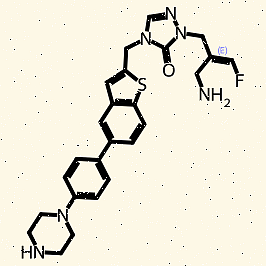 NC/C(=C\F)Cn1ncn(Cc2cc3cc(-c4ccc(N5CCNCC5)cc4)ccc3s2)c1=O